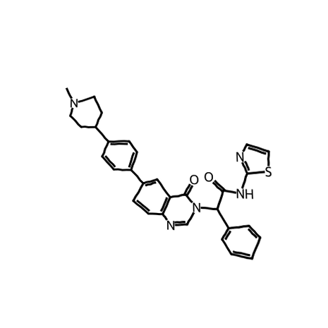 CN1CCC(c2ccc(-c3ccc4ncn(C(C(=O)Nc5nccs5)c5ccccc5)c(=O)c4c3)cc2)CC1